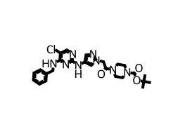 CC(C)(C)OC(=O)N1CCN(C(=O)Cn2cc(Nc3ncc(Cl)c(NCc4ccccc4)n3)cn2)CC1